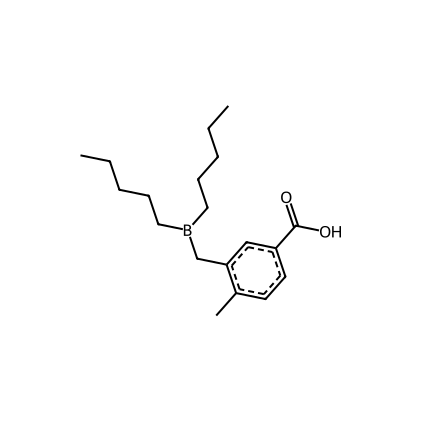 CCCCCB(CCCCC)Cc1cc(C(=O)O)ccc1C